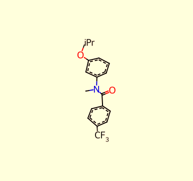 CC(C)Oc1cccc(N(C)C(=O)c2ccc(C(F)(F)F)cc2)c1